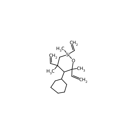 C=CC1(C)C[Si](C)(C=C)OC(C)(C=C)C1C1CCCCC1